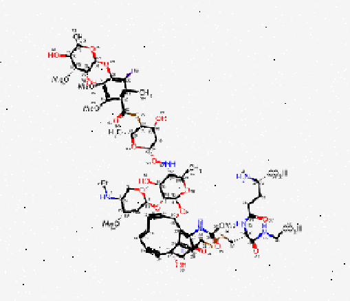 CCN[C@H]1CO[C@@H](O[C@H]2[C@H](O[C@H]3C#C/C=C/C#C[C@]4(O)CC(=O)C(NC(=O)OC)=C3/C4=C\CSSC[C@H](NC(=O)CC[C@H](N)C(=O)O)C(=O)NCC(=O)O)O[C@H](C)[C@@H](NO[C@H]3C[C@H](O)[C@H](SC(=O)c4c(C)c(I)c(O[C@@H]5O[C@@H](C)[C@H](O)[C@@H](OC)[C@H]5O)c(OC)c4OC)[C@@H](C)O3)[C@@H]2O)C[C@@H]1OC